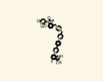 Cn1c(=O)n(C2CCC(=O)NC2=O)c2cccc(CN3CCN(CC4CCN(c5ccc(C6CCN(c7ccc(F)c8c(C#N)c[nH]c78)CC6)cc5)CC4)CC3)c21